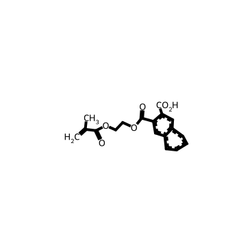 C=C(C)C(=O)OCCOC(=O)c1cc2ccccc2cc1C(=O)O